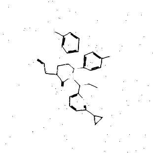 C=CC[C@@]1(C)C[C@H](c2cccc(Cl)c2)[C@@H](c2ccc(Cl)cc2)N([C@@H](CC)c2cccc(C3CC3)n2)C1=O